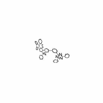 c1ccc(-c2nc(-c3ccccc3)nc(-c3cccc(-c4ccc5c(c4)nc(-c4ccccc4)c4ccc6c(c45)Sc4ccccc4C64c5ccccc5-c5ccccc54)c3)n2)cc1